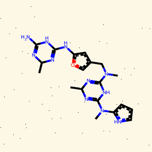 CC1N=C(N)NC(Nc2cc(CN(C)C3=NC(C)N=C(N(C)c4ccc[nH]4)N3)co2)=N1